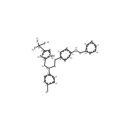 Fc1ccc(N(CCc2ccc(OCc3ccccc3)cc2)Cc2nc(C(F)(F)F)c[nH]2)cc1